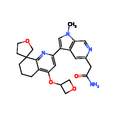 Cn1cc(-c2cc(OC3COC3)c3c(n2)C2(CCC3)CCOC2)c2cc(CC(N)=O)ncc21